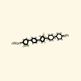 CCCCCCCCCc1ccc(-c2ccc(-c3ccc(C4=CCC(C5CCC(CCC)CC5)CC4)c(F)c3)cc2)c(F)c1F